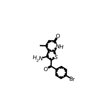 Cc1cc(=O)[nH]c2sc(C(=O)c3ccc(Br)cc3)c(N)c12